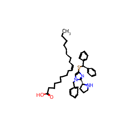 CCCCCCCC/C=C\CCCCCCCC(=O)O.c1ccc(Cn2cc(SC(c3ccccc3)c3ccccc3)nc2[C@@H]2CCCN2)cc1